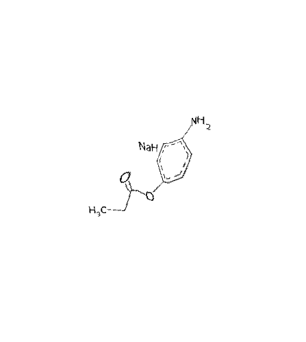 CCC(=O)Oc1ccc(N)cc1.[NaH]